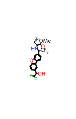 COC(=O)[C@H](CC(C)C)N[C@@H](c1ccc2c(c1)oc1ccc(C(O)C(F)F)cc12)C(F)(F)F